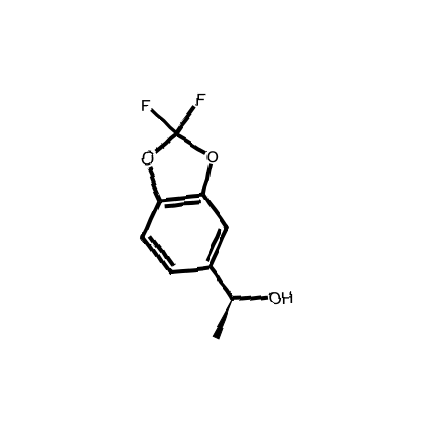 C[C@H](O)c1ccc2c(c1)OC(F)(F)O2